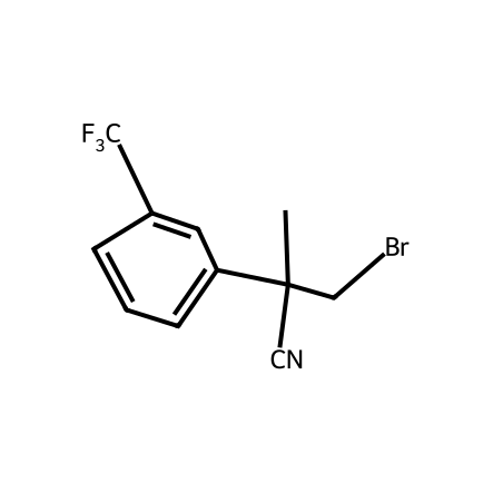 CC(C#N)(CBr)c1cccc(C(F)(F)F)c1